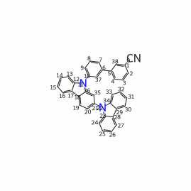 N#Cc1cccc(-c2cccc(-n3c4ccccc4c4ccc(-n5c6ccccc6c6ccccc65)cc43)c2)c1